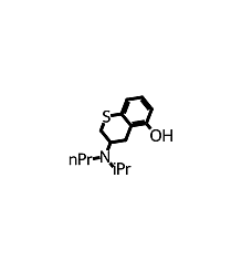 CCCN(C(C)C)C1CSc2cccc(O)c2C1